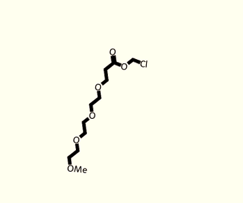 COCCOCCOCCOCCC(=O)OCCl